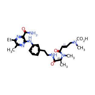 CCc1nc(C(N)=O)c(Nc2cccc(CCNC(=O)[C@H](C)N(C)C(=O)/C=C/CN(C)C(=O)O)c2)nc1C